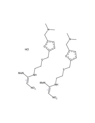 CN/C(=C/[N+](=O)[O-])NCCSCc1ccc(CN(C)C)o1.CN/C(=C/[N+](=O)[O-])NCCSCc1ccc(CN(C)C)o1.Cl